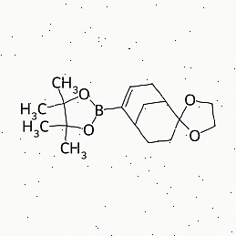 CC1(C)OB(C2=CCC3CC2CCC32OCCO2)OC1(C)C